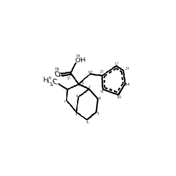 CC1CC2CCCC(C2)C1(Cc1ccccc1)C(=O)O